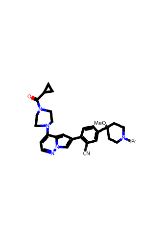 COC1(c2ccc(-c3cc4c(N5CCN(C(=O)C6CC6)CC5)ccnn4c3)c(C#N)c2)CCN(C(C)C)CC1